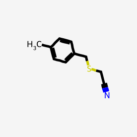 Cc1ccc(CSCC#N)cc1